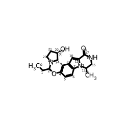 CCC(Oc1ccc2c(c1)cc1n2C(C)CNC1=O)N1CC[C@@H](O)C1